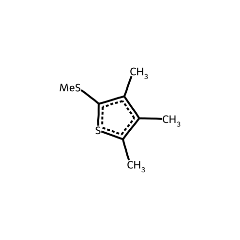 CSc1sc(C)c(C)c1C